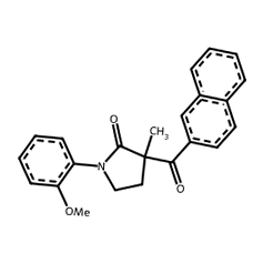 COc1ccccc1N1CCC(C)(C(=O)c2ccc3ccccc3c2)C1=O